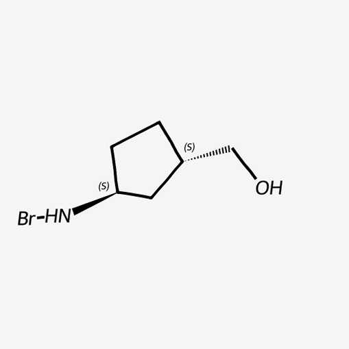 OC[C@H]1CC[C@H](NBr)C1